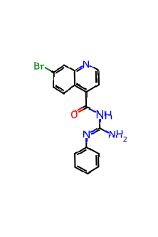 NC(=Nc1ccccc1)NC(=O)c1ccnc2cc(Br)ccc12